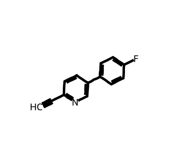 C#Cc1ccc(-c2ccc(F)cc2)cn1